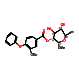 CC[C@H]1O[C@H](OC)[C@H](OC(=O)c2ccc(Oc3ccccc3)c(OC)c2)[C@@H](O)[C@@H]1O